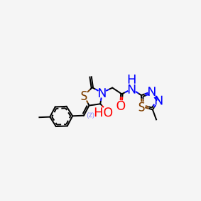 C=C1S/C(=C\c2ccc(C)cc2)C(O)N1CC(=O)Nc1nnc(C)s1